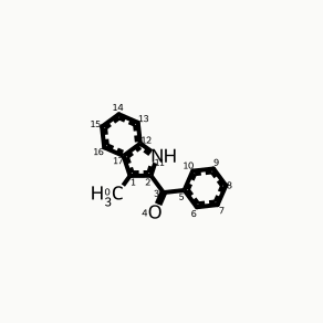 Cc1c(C(=O)c2ccccc2)[nH]c2ccccc12